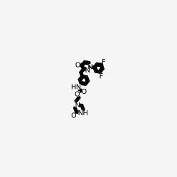 O=C1CN(CCOC(=O)Nc2cccc(Cc3nn(-c4cc(F)cc(F)c4)ccc3=O)c2)CCN1